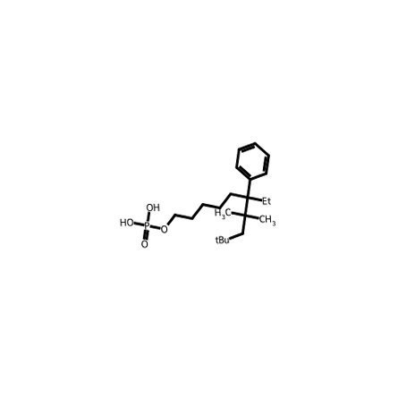 CCC(CCCCCOP(=O)(O)O)(c1ccccc1)C(C)(C)CC(C)(C)C